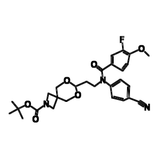 COc1ccc(C(=O)N(CCC2OCC3(CO2)CN(C(=O)OC(C)(C)C)C3)c2ccc(C#N)cc2)cc1F